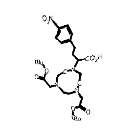 CC(C)(C)OC(=O)CN1CCN(CC(=O)OC(C)(C)C)CCN(C(CCc2ccc([N+](=O)[O-])cc2)C(=O)O)CC1